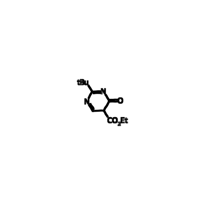 CCOC(=O)C1C=NC(C(C)(C)C)=NC1=O